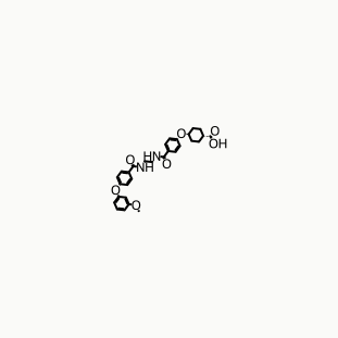 COc1cccc(Oc2ccc(C(=O)NCCNC(=O)c3ccc(O[C@H]4CC[C@@H](C(=O)O)CC4)cc3)cc2)c1